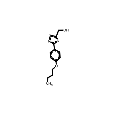 CCCCOc1ccc(-c2nsc(CO)n2)cc1